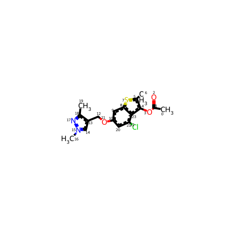 CC(=O)Oc1c(C)sc2cc(OCc3cn(C)nc3C)cc(Cl)c12